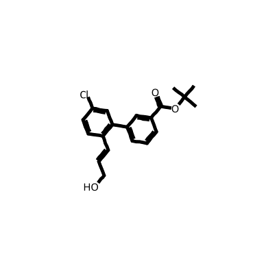 CC(C)(C)OC(=O)c1cccc(-c2cc(Cl)ccc2/C=C/CO)c1